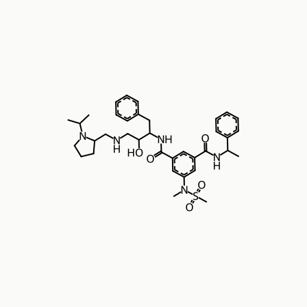 CC(NC(=O)c1cc(C(=O)NC(Cc2ccccc2)C(O)CNCC2CCCN2C(C)C)cc(N(C)S(C)(=O)=O)c1)c1ccccc1